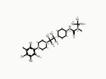 [2H]c1c([2H])c(C)c(Cl)c(N2CCN(C([2H])([2H])C([2H])([2H])[C@H]3CC[C@H](NC(=O)N(C)C([2H])([2H])[2H])CC3)CC2)c1[2H]